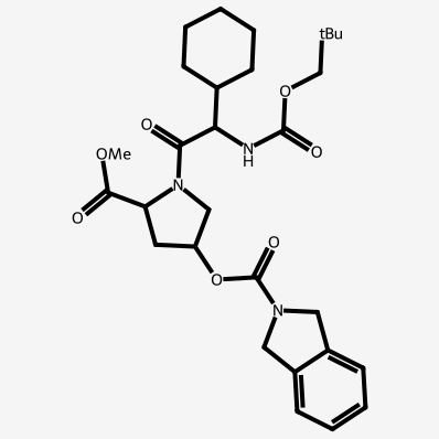 COC(=O)C1CC(OC(=O)N2Cc3ccccc3C2)CN1C(=O)C(NC(=O)OCC(C)(C)C)C1CCCCC1